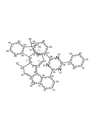 C\C=C/C=C1\C(=C2/C=c3c(oc4cccc(-c5nc(-c6ccccc6)nc(-c6ccccc6)n5)c34)=CC2C)c2ccccc2C1(C)C